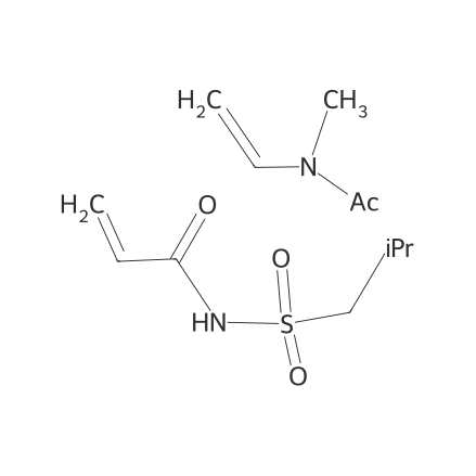 C=CC(=O)NS(=O)(=O)CC(C)C.C=CN(C)C(C)=O